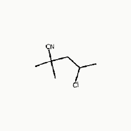 CC(Cl)CC(C)(C)C#N